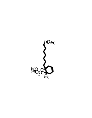 CCCCCCCCCCCCCCCCCC1(C(=O)O)CC=CCC1(CC)C(=O)O